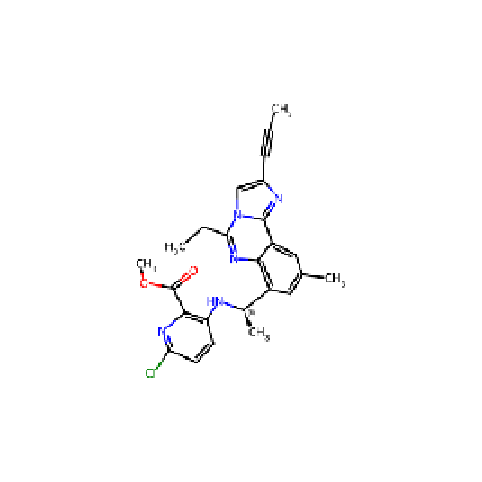 CC#Cc1cn2c(CC)nc3c([C@@H](C)Nc4ccc(Cl)nc4C(=O)OC)cc(C)cc3c2n1